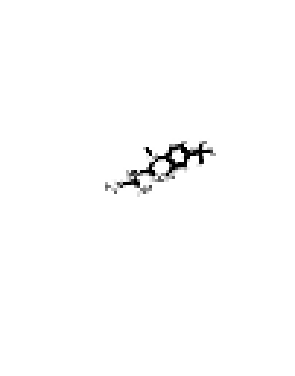 CN(C(=O)NC(=N)N)c1ccc(C(C)(C)C)cc1Cl